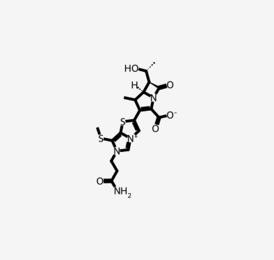 CSc1c2sc(C3=C(C(=O)[O-])N4C(=O)[C@H]([C@@H](C)O)[C@@H]4C3C)c[n+]2cn1CCC(N)=O